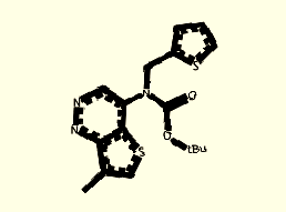 Cc1csc2c(N(Cc3cccs3)C(=O)OC(C)(C)C)cnnc12